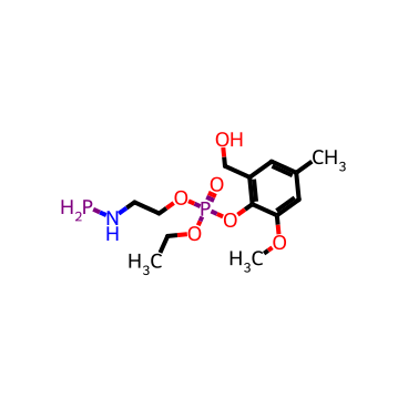 CCOP(=O)(OCCNP)Oc1c(CO)cc(C)cc1OC